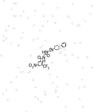 O=C(CNC(=O)c1cc([N+](=O)[O-])cc(C(F)(F)F)c1)NC1CN([C@H]2CC[C@@H](c3ccccc3)CC2)C1